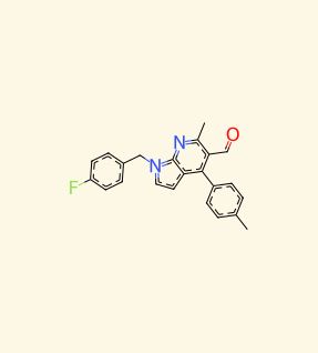 Cc1ccc(-c2c(C=O)c(C)nc3c2ccn3Cc2ccc(F)cc2)cc1